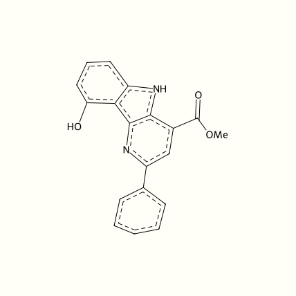 COC(=O)c1cc(-c2ccccc2)nc2c1[nH]c1cccc(O)c12